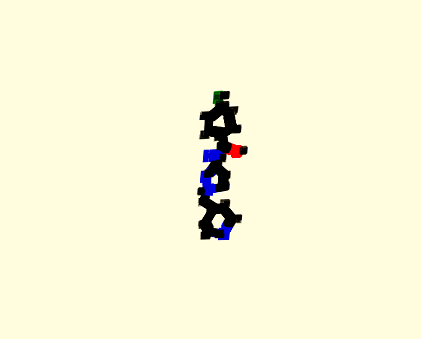 O=C(Nc1ccn(Cc2ccncc2)n1)c1ccc(F)cc1